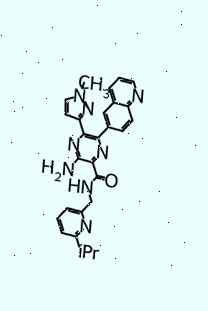 CC(C)c1cccc(CNC(=O)c2nc(-c3ccc4ncccc4c3)c(-c3ccn(C)n3)nc2N)n1